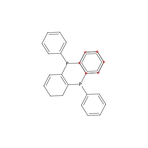 C1=CC(P(c2ccccc2)c2ccccc2)=C(P(c2ccccc2)c2ccccc2)CC1